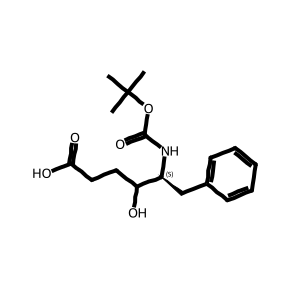 CC(C)(C)OC(=O)N[C@@H](Cc1ccccc1)C(O)CCC(=O)O